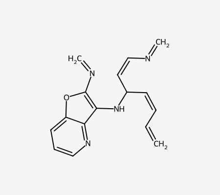 C=C/C=C\C(/C=C\N=C)Nc1c(N=C)oc2cccnc12